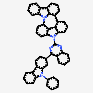 c1ccc(-n2c3ccccc3c3ccc(-c4nc(-n5c6cccc7c8cccc9c%10ccccc%10n(c%10cccc5c%10c76)c89)nc5ccccc45)cc32)cc1